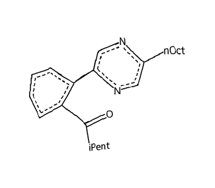 CCCCCCCCc1cnc(-c2ccccc2C(=O)C(C)CCC)cn1